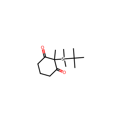 CC(C)(C)[Si](C)(C)C1(C)C(=O)CCCC1=O